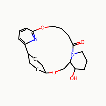 O=C1CCCOc2cccc(n2)C2CCC(CC2)OCC2C(O)CCCN12